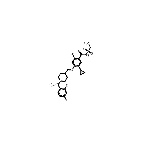 CCS(=O)(=O)NC(=O)c1cc(C2CC2)c(OCC2CCN([C@@H](C)c3ccc(F)cc3Cl)CC2)cc1F